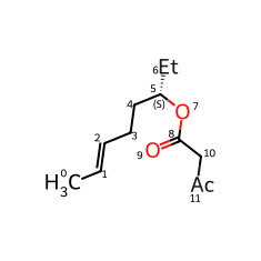 CC=CCC[C@H](CC)OC(=O)CC(C)=O